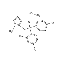 Cc1nccn1CC(O)(c1ccc(Cl)cc1)c1ccc(Cl)cc1Cl.O=[N+]([O-])O